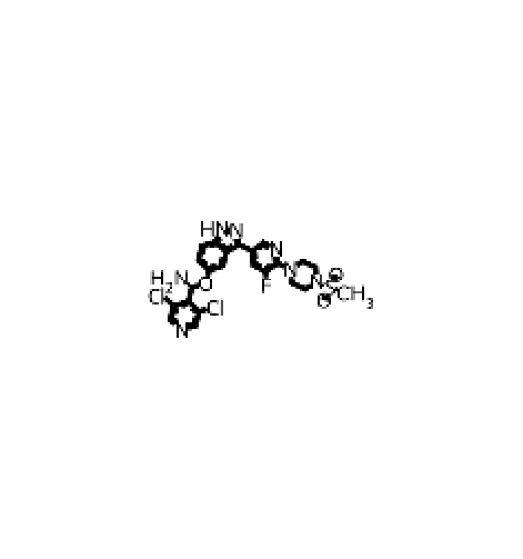 CS(=O)(=O)N1CCN(c2ncc(-c3n[nH]c4ccc(O[C@H](N)c5c(Cl)cncc5Cl)cc34)cc2F)CC1